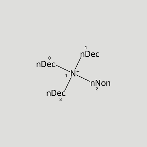 CCCCCCCCCC[N+](CCCCCCCCC)(CCCCCCCCCC)CCCCCCCCCC